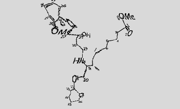 COC(=O)CCCCCCC(COC1CCCCO1)NCCC(O)COc1ccccc1OC